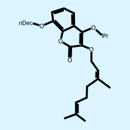 CCCCCCCCCCOc1cccc2c(OC(C)C)c(OCC=C(C)CCC=C(C)C)c(=O)oc12